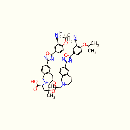 CC(C)Oc1ccc(-c2nc(-c3ccc4c(c3)CCCN(CC(=O)OC(C)(C)CC(C(=O)O)N3CCCc5cc(-c6noc(-c7ccc(OC(C)C)c(C#N)c7)n6)ccc5C3)C4)no2)cc1C#N